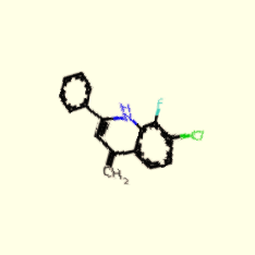 C=C1C=C(c2ccccc2)Nc2c1ccc(Cl)c2F